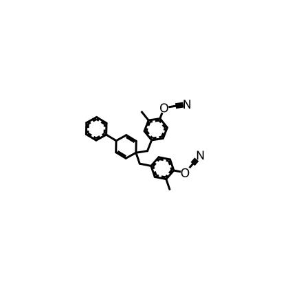 Cc1cc(CC2(Cc3ccc(OC#N)c(C)c3)C=CC(c3ccccc3)C=C2)ccc1OC#N